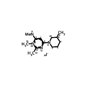 CNc1cc(N2CCCC(C)C2)nc(C)[n+]1C.[I-]